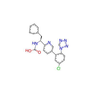 O=C(O)N[C@@H](Cc1ccccc1)c1ccc(-c2cc(Cl)ccc2-n2cnnn2)cn1